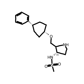 CS(=O)(=O)N[C@H]1CCNC1CO[C@H]1CC[C@@H](c2ccccc2)CC1